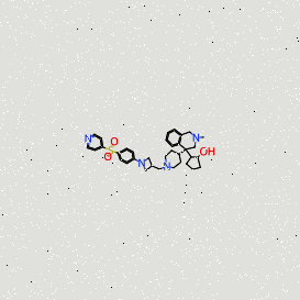 CN1Cc2ccccc2C(C2CCN(CC3CN(c4ccc(S(=O)(=O)c5ccncc5)cc4)C3)CC2)(C2CCCC2O)C1